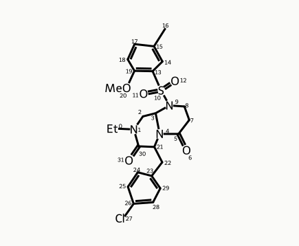 CCN1CC2N(C(=O)CCN2S(=O)(=O)c2cc(C)ccc2OC)C(Cc2ccc(Cl)cc2)C1=O